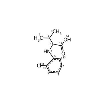 CC(C)C(Nc1ccccc1Cl)C(=O)O